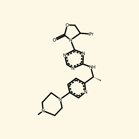 CC(C)C1COC(=O)N1c1ncnc(N[C@H](C)c2ccc(N3CCN(C)CC3)cn2)n1